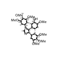 COc1ccc(-c2c(-c3cc(OC)c(OC)c(OC)c3)ncn2-c2cc(OC)c(OC)c(OC)c2)cc1O